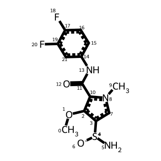 COc1c([S+](N)[O-])cn(C)c1C(=O)Nc1ccc(F)c(F)c1